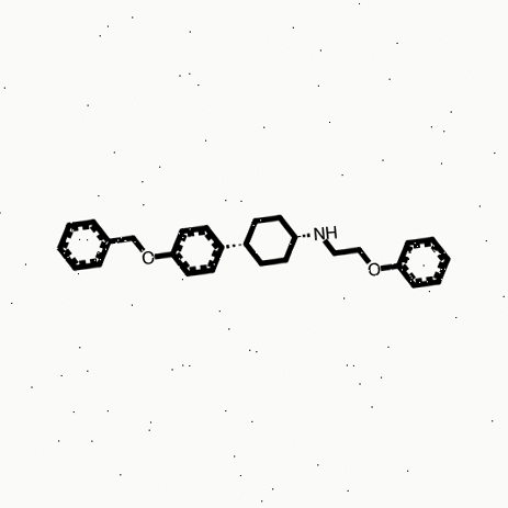 c1ccc(COc2ccc([C@H]3CC[C@@H](NCCOc4ccccc4)CC3)cc2)cc1